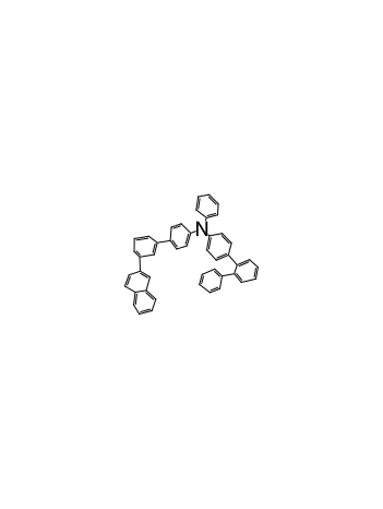 c1ccc(-c2ccccc2-c2ccc(N(c3ccccc3)c3ccc(-c4cccc(-c5ccc6ccccc6c5)c4)cc3)cc2)cc1